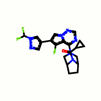 O=C(C1CC1)N1C2CCC1CN(c1ncnn3cc(-c4cnn(C(F)F)c4)c(F)c13)C2